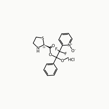 COC(OC(=O)[C@H]1NCCS1)(c1ccccc1)C(F)(F)c1cccc[n+]1[O-].Cl